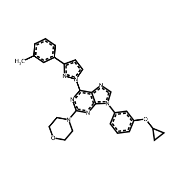 Cc1cccc(-c2ccn(-c3nc(N4CCOCC4)nc4c3ncn4-c3cccc(OC4CC4)c3)n2)c1